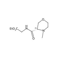 CCOC(=O)CNC(=O)[C@@H]1COCCN1C